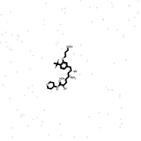 COCCCOc1cc(C[C@@H](C[C@H](N)[C@@H](O)C[C@H](C(=O)NC2CCOCC2)C(C)C)C(C)C)ccc1C(C)(F)F